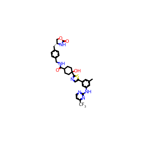 Cc1cc(Nc2nccc(C(F)(F)F)n2)cc(-c2cnc(C3(O)CCC(C(=O)NCc4ccc(C[C@@H]5COC(=O)N5)cc4)CC3)s2)c1